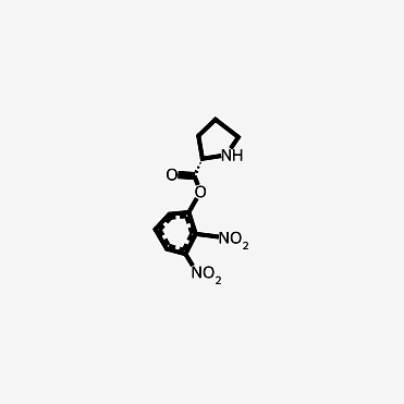 O=C(Oc1cccc([N+](=O)[O-])c1[N+](=O)[O-])[C@@H]1CCCN1